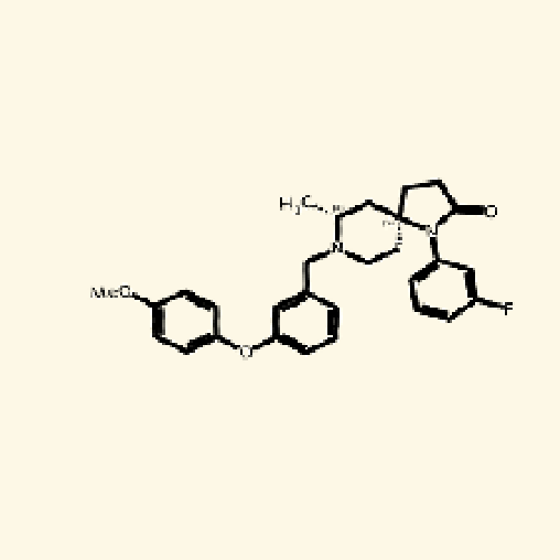 COc1ccc(Oc2cccc(CN3CC[C@@]4(CCC(=O)N4c4cccc(F)c4)C[C@H]3C)c2)cc1